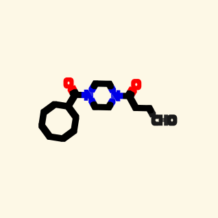 O=CCCC(=O)N1CCN(C(=O)C2CCCCCCC2)CC1